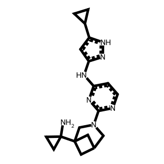 NC1(C23CC(CN(c4nccc(Nc5cc(C6CC6)[nH]n5)n4)C2)C3)CC1